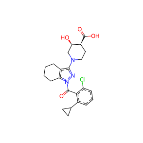 O=C(O)[C@H]1CCN(c2nn(C(=O)c3c(Cl)cccc3C3CC3)c3c2CCCC3)C[C@H]1O